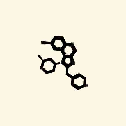 C[C@@H]1C[C@H](n2c(CC3=CCNC=N3)nc3cnc4ccc(C#N)cc4c32)CCO1